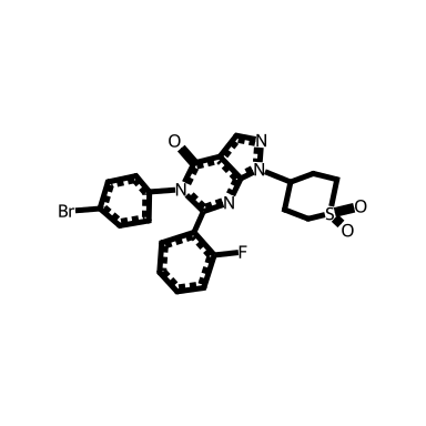 O=c1c2cnn(C3CCS(=O)(=O)CC3)c2nc(-c2ccccc2F)n1-c1ccc(Br)cc1